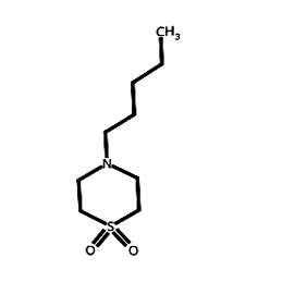 CCCCCN1CCS(=O)(=O)CC1